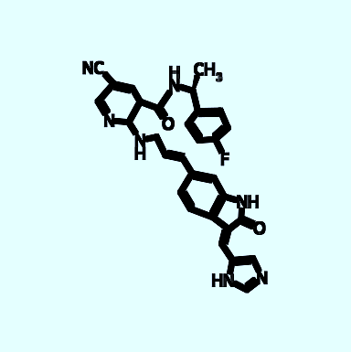 C[C@H](NC(=O)C1C=C(C#N)C=NC1NC/C=C/c1ccc2c(c1)NC(=O)/C2=C\c1cnc[nH]1)c1ccc(F)cc1